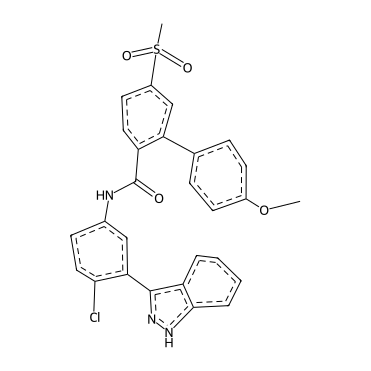 COc1ccc(-c2cc(S(C)(=O)=O)ccc2C(=O)Nc2ccc(Cl)c(-c3n[nH]c4ccccc34)c2)cc1